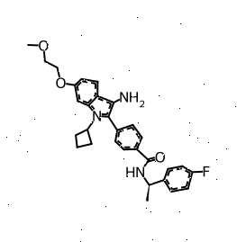 COCCOc1ccc2c(N)c(-c3ccc(C(=O)N[C@H](C)c4ccc(F)cc4)cc3)n(C3CCC3)c2c1